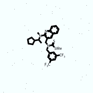 CSC(=S)N(Cc1cc(C(F)(F)F)cc(C(F)(F)F)c1)Cc1cc2ccccc2nc1N(C)C(C)C1CCCC1